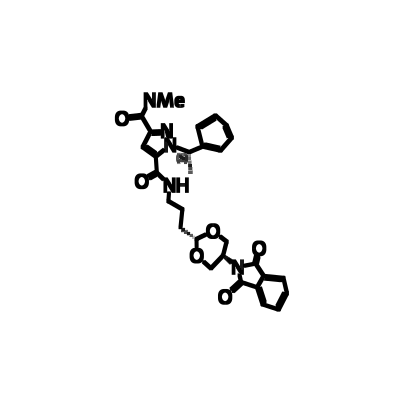 CNC(=O)c1cc(C(=O)NCCC[C@H]2OC[C@H](N3C(=O)c4ccccc4C3=O)CO2)n([C@@H](C)c2ccccc2)n1